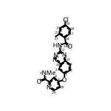 CNC(=O)c1cc(Oc2ccc3nc(NC(=O)c4ccc(Cl)cc4C)nnc3c2)ccn1